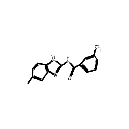 Cc1ccc2[nH]c(NC(=O)c3cccc(C(F)(F)F)c3)nc2c1